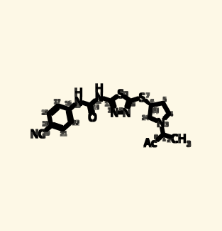 CC(=O)C(C)N1CC[C@H](Sc2nnc(NC(=O)Nc3ccc(C#N)cc3)s2)C1